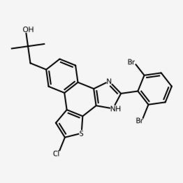 CC(C)(O)Cc1ccc2c(c1)c1cc(Cl)sc1c1[nH]c(-c3c(Br)cccc3Br)nc21